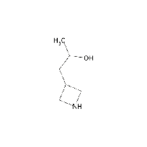 CC(O)CC1CNC1